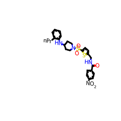 CCCc1ccccc1NC1CCN(S(=O)(=O)c2ccc(CNC(=O)c3ccc([N+](=O)[O-])cc3)s2)CC1